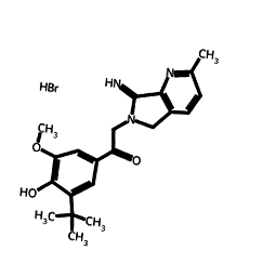 Br.COc1cc(C(=O)CN2Cc3ccc(C)nc3C2=N)cc(C(C)(C)C)c1O